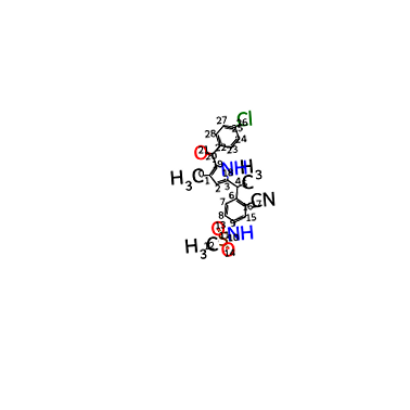 Cc1cc(C(C)c2ccc(NS(C)(=O)=O)cc2C#N)[nH]c1C(=O)c1ccc(Cl)cc1